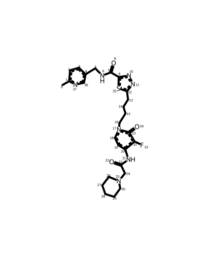 Cc1ccc(CNC(=O)c2nnc(CCCCn3ccc(NC(=O)CN4CCCCC4)c(F)c3=O)s2)cn1